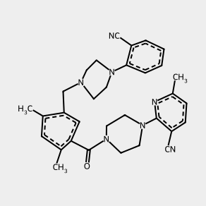 Cc1ccc(C#N)c(N2CCN(C(=O)c3cc(CN4CCN(c5ccccc5C#N)CC4)c(C)cc3C)CC2)n1